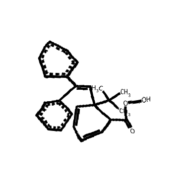 CC(C)(C)C1(C=C(c2ccccc2)c2ccccc2)C=CC=CC1C(=O)OO